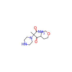 CC(C(N)=O)(C(=O)C1CCOCC1)N1CCNCC1